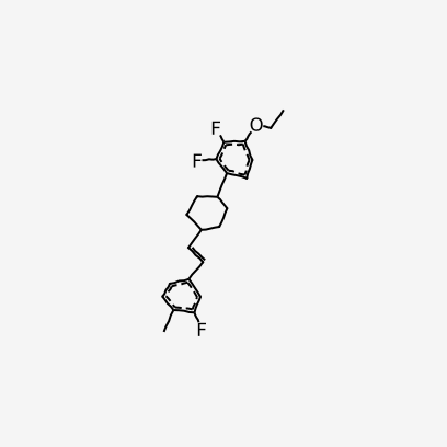 CCOc1ccc(C2CCC(/C=C/c3ccc(C)c(F)c3)CC2)c(F)c1F